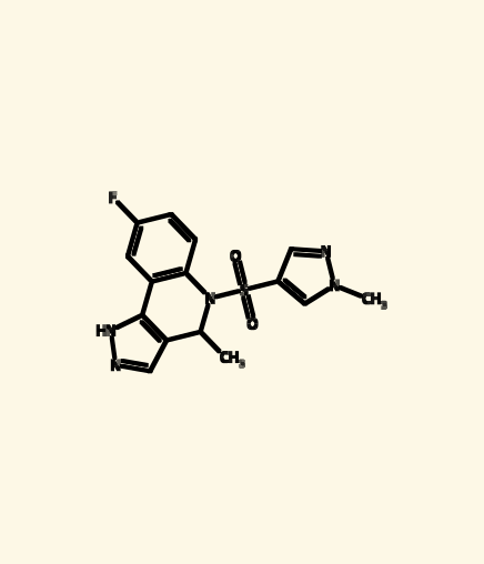 CC1c2cn[nH]c2-c2cc(F)ccc2N1S(=O)(=O)c1cnn(C)c1